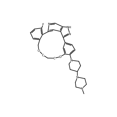 CN1CCN(C2CCN(c3ccc4cc3OCCCOCc3cccc(F)c3-c3cc5c-4n[nH]c5cn3)CC2)CC1